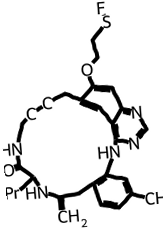 C=C1Cc2ccc(C)cc2Nc2ncnc3cc(OCCSF)c(cc23)CCCCNC(=O)C(C(C)C)N1